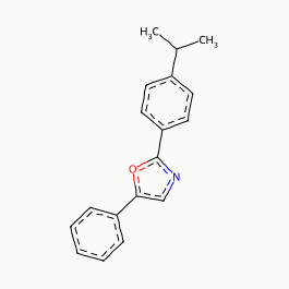 CC(C)c1ccc(-c2ncc(-c3ccccc3)o2)cc1